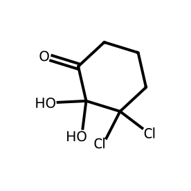 O=C1CCCC(Cl)(Cl)C1(O)O